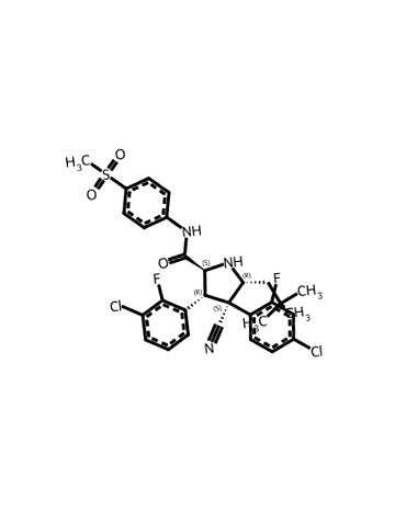 CC(C)(C)C[C@H]1N[C@H](C(=O)Nc2ccc(S(C)(=O)=O)cc2)[C@@H](c2cccc(Cl)c2F)[C@]1(C#N)c1ccc(Cl)cc1F